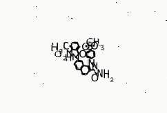 Cc1cccc(C(=O)Nc2ccc3c(c2)-c2c(c(C(N)=O)nn2-c2ccc(S(C)(=O)=O)cc2)CC3)c1[N+](=O)[O-]